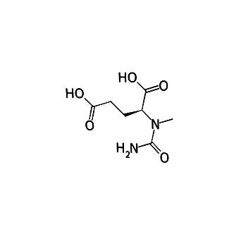 CN(C(N)=O)[C@@H](CCC(=O)O)C(=O)O